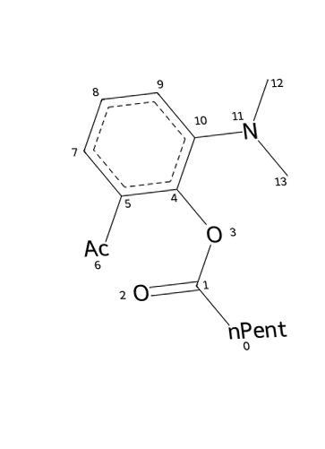 CCCCCC(=O)Oc1c(C(C)=O)cccc1N(C)C